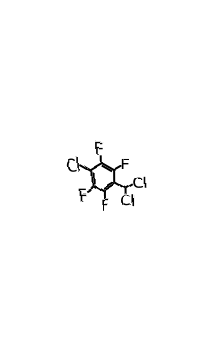 Fc1c(F)c(C(Cl)Cl)c(F)c(F)c1Cl